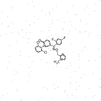 Cn1ccnc1CO/N=C(/c1ccc(=O)n(-c2c(Cl)cccc2Cl)c1)c1ccc(F)cc1F